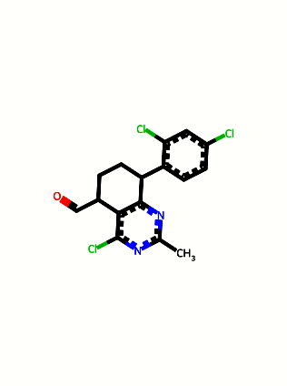 Cc1nc(Cl)c2c(n1)C(c1ccc(Cl)cc1Cl)CCC2C=O